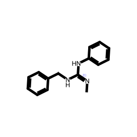 C/N=C(\N[CH]c1ccccc1)Nc1ccccc1